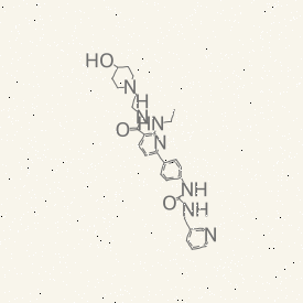 CCNc1nc(-c2ccc(NC(=O)NCc3cccnc3)cc2)ccc1C(=O)NCCN1CCC(O)CC1